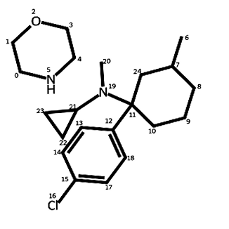 C1COCCN1.CC1CCCC(c2ccc(Cl)cc2)(N(C)C2CC2)C1